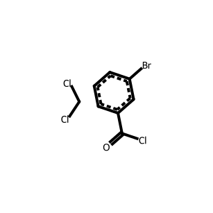 ClCCl.O=C(Cl)c1cccc(Br)c1